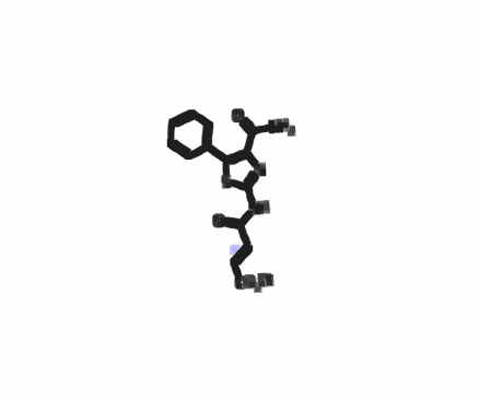 CCOC(=O)/C=C/C(=O)Nc1nc(C(N)=O)c(-c2ccccc2)s1